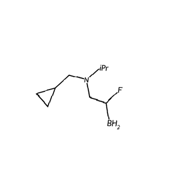 BC(F)CN(CC1CC1)C(C)C